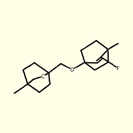 CC12CCC(COC34C=C(F)C(C)(CC3)CC4)(CC1)CC2